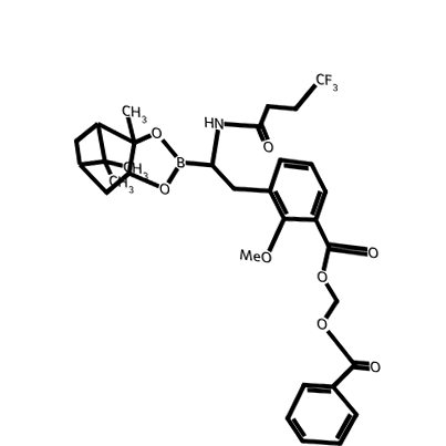 COc1c(CC(NC(=O)CCC(F)(F)F)B2OC3CC4CC(C4(C)C)C3(C)O2)cccc1C(=O)OCOC(=O)c1ccccc1